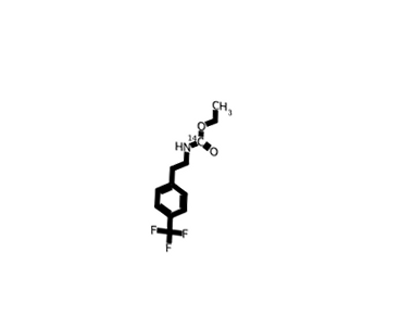 CCO[14C](=O)NCCc1ccc(C(F)(F)F)cc1